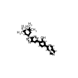 CC1(C)CC(n2nnc3cc(-c4ccc(-c5cn6cncc6cn5)cc4O)nnc32)CC(C)(C)N1